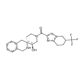 O=C(c1cn2c(n1)CCC(C(F)(F)F)C2)N1CC[C@]2(Cc3ccccc3CN2)[C@H](O)C1